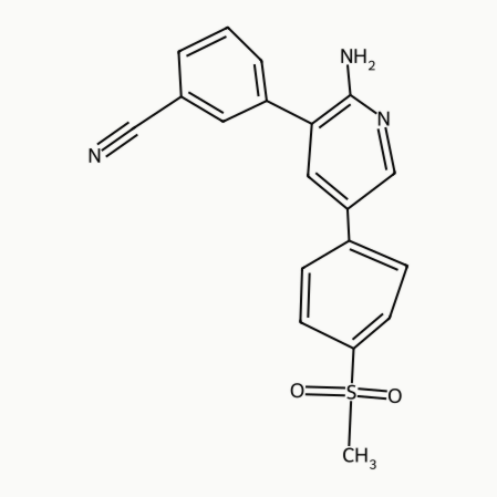 CS(=O)(=O)c1ccc(-c2cnc(N)c(-c3cccc(C#N)c3)c2)cc1